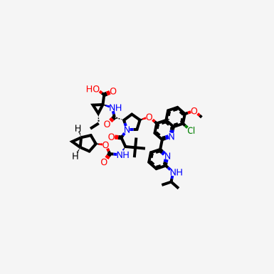 CC[C@@H]1C[C@]1(NC(=O)[C@@H]1C[C@@H](Oc2cc(-c3cccc(NC(C)C)n3)nc3c(Cl)c(OC)ccc23)CN1C(=O)[C@@H](NC(=O)O[C@@H]1C[C@@H]2C[C@@H]2C1)C(C)(C)C)C(=O)O